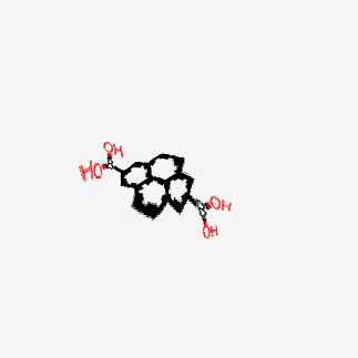 OB(O)c1cc2ccc3cc(B(O)O)cc4ccc(c1)c2c34